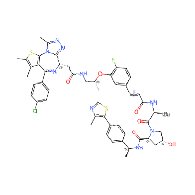 Cc1ncsc1-c1ccc([C@H](C)NC(=O)[C@@H]2C[C@@H](O)CN2C(=O)C(NC(=O)/C=C/c2ccc(F)c(O[C@H](C)CNC(=O)C[C@@H]3N=C(c4ccc(Cl)cc4)c4c(sc(C)c4C)-n4c(C)nnc43)c2)C(C)(C)C)cc1